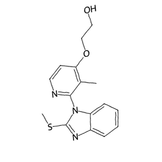 CSc1nc2ccccc2n1-c1nccc(OCCO)c1C